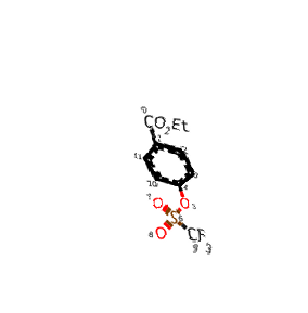 CCOC(=O)c1ccc(OS(=O)(=O)C(F)(F)F)cc1